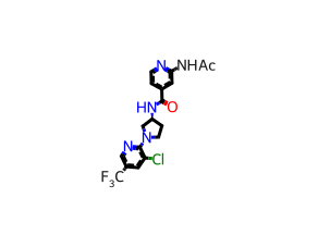 CC(=O)Nc1cc(C(=O)N[C@H]2CCN(c3ncc(C(F)(F)F)cc3Cl)C2)ccn1